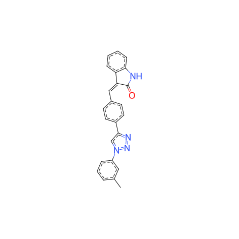 Cc1cccc(-n2cc(-c3ccc(C=C4C(=O)Nc5ccccc54)cc3)nn2)c1